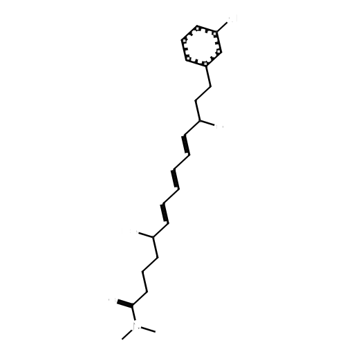 CN(C)C(=O)CCCC(O)C=CC=CC=CC(O)CCc1cccc(C(F)(F)F)c1